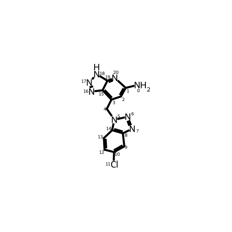 Nc1cc(Cn2nnc3cc(Cl)ccc32)c2nn[nH]c2n1